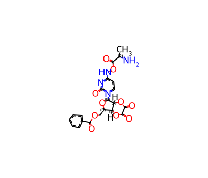 C[C@@H](N)C(=O)ONc1ccn([C@@H]2O[C@H](COC(=O)c3ccccc3)[C@H]3OC(=O)C(=O)O[C@H]32)c(=O)n1